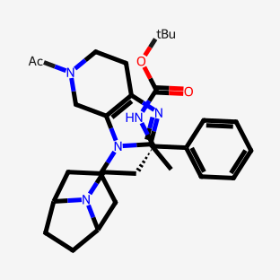 CC(=O)N1CCc2nc(C)n(C3CC4CCC(C3)N4CC[C@H](NC(=O)OC(C)(C)C)c3ccccc3)c2C1